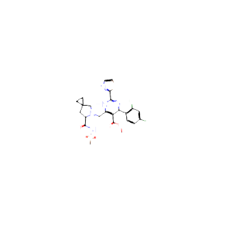 COC(=O)C1=C(CN2CC3(CC3)CC2C(=O)NS(C)(=O)=O)NC(c2nccs2)=NC1c1ccc(F)cc1Cl